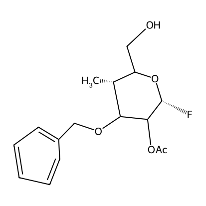 CC(=O)OC1C(OCc2ccccc2)[C@H](C)C(CO)O[C@@H]1F